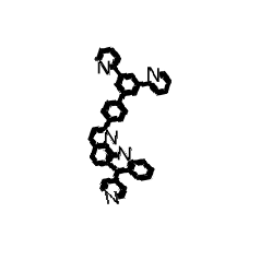 c1ccc(-c2cc(-c3ccc(-c4ccc5ccc6c(-c7ccncc7)c7ccccc7nc6c5n4)cc3)cc(-c3ccccn3)c2)nc1